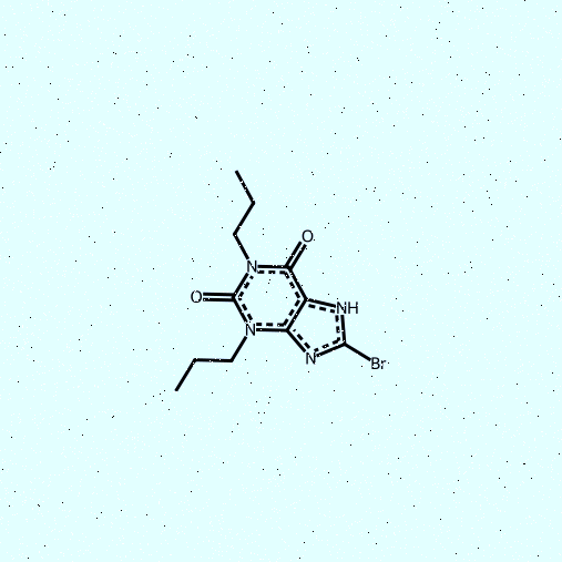 CCCn1c(=O)c2[nH]c(Br)nc2n(CCC)c1=O